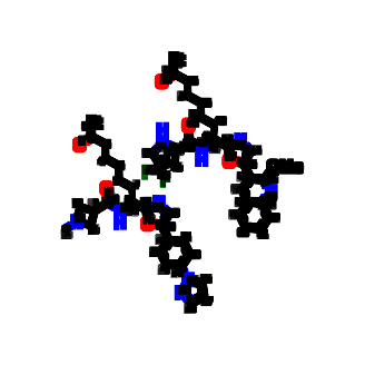 CCC(=O)CCCCC[C@H](NC(=O)C1CN(C)C1)c1ncc(-c2ccc(-n3cccn3)cc2)o1.CCC(=O)CCCCC[C@H](NC(=O)[C@@H]1CC(F)(F)CN1)c1ncc(-c2cc3ccccc3nc2OC)o1